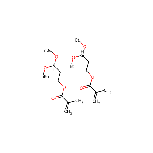 C=C(C)C(=O)OCC[SiH](OCC)OCC.C=C(C)C(=O)OCC[SiH](OCCCC)OCCCC